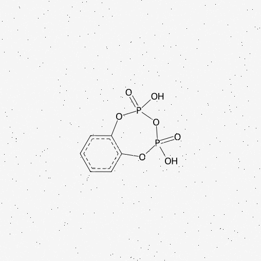 O=P1(O)Oc2ccccc2OP(=O)(O)O1